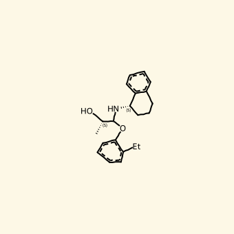 CCc1ccccc1OC(N[C@H]1CCCc2ccccc21)[C@H](C)O